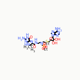 CCOP(=O)(CN(CCNC(=O)C1=Nc2c(nc(N)[nH]c2=O)NC1(C)C)CCSC[C@H]1O[C@@H](n2cnc3c(N)ncnc32)C(O)C1O)OCC